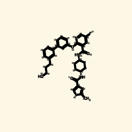 Cc1nc(C(=O)N[C@H]2CC[C@H](NC(=O)c3cc(F)cnc3Oc3cccc(-c4cccc(CCCO)c4)c3)CC2)cs1